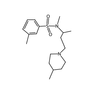 Cc1cccc(S(=O)(=O)N(C)C(C)CCN2CCC(C)CC2)c1